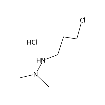 CN(C)NCCCCl.Cl